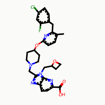 Cc1ccc(OC2CCN(Cc3nc4ccc(C(=O)O)nc4n3CC3CCO3)CC2)nc1Cc1ccc(Cl)cc1F